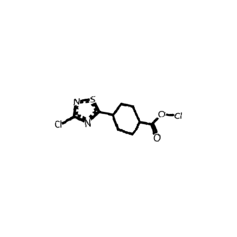 O=C(OCl)C1CCC(c2nc(Cl)ns2)CC1